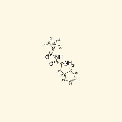 CC1(C)C(C(=O)NC(=O)[C@@H](N)Cc2ccccc2)C1(C)C